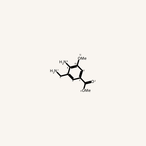 COC(=O)c1cc(CN)c(N)c(OC)c1